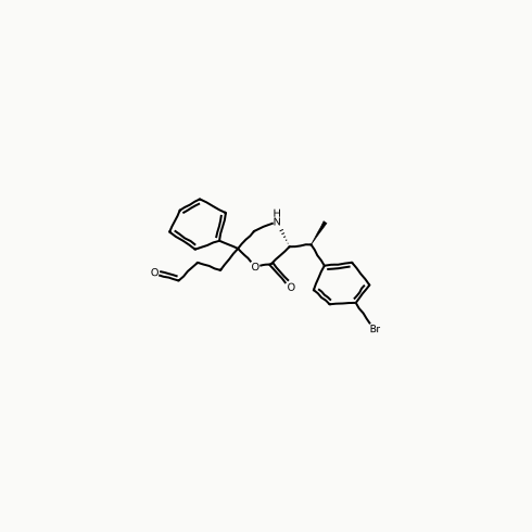 C[C@@H](c1ccc(Br)cc1)[C@H]1NCC(CCC=O)(c2ccccc2)OC1=O